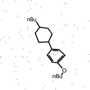 CCCCOc1ccc(C2CCC(CCCC)CC2)cc1